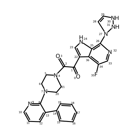 O=C(C(=O)N1CCN(c2ncccc2-c2ccccc2)CC1)c1c[nH]c2c(N3C=CNN3)ncc(F)c12